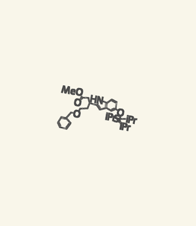 COC(=O)CC(CCOCc1ccccc1)c1cc2cc(O[Si](C(C)C)(C(C)C)C(C)C)ccc2[nH]1